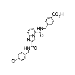 O=C(O)c1ccc(CNC(=O)c2cccc3nc(C(=O)NCc4ccc(Cl)cc4)cn23)cc1